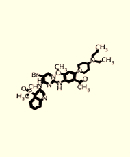 CCCN(CC)C1CCN(c2cc(OC)c(Nc3ncc(Br)c(Nc4cnc5ccccc5c4P(C)(C)=O)n3)cc2C(C)=O)CC1